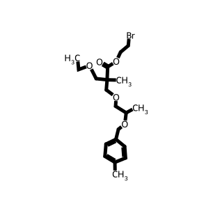 CCOCC(C)(COCC(C)OCc1ccc(C)cc1)C(=O)OCCBr